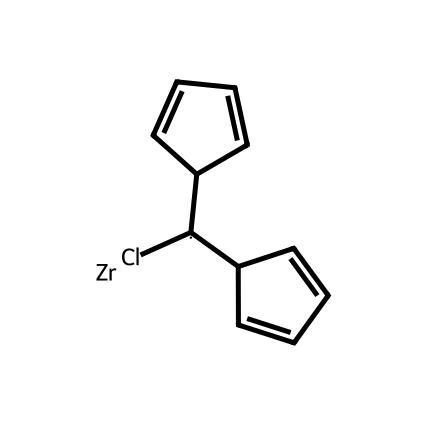 Cl[C](C1C=CC=C1)C1C=CC=C1.[Zr]